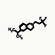 CC(C)c1ccc2c(c1)CCN(CCC(F)(F)F)C2